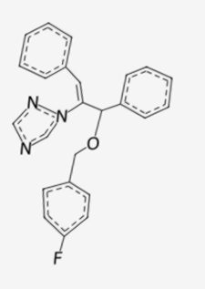 Fc1ccc(COC(C(=Cc2ccccc2)n2cncn2)c2ccccc2)cc1